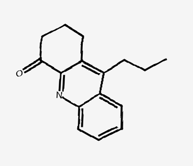 CCCc1c2c(nc3ccccc13)C(=O)CCC2